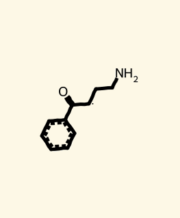 NCC[CH]C(=O)c1ccccc1